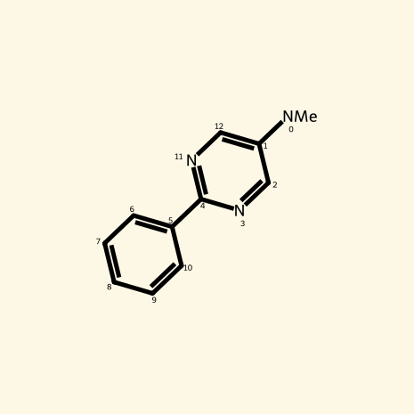 CNc1cnc(-c2ccccc2)nc1